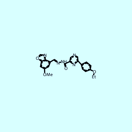 CCOc1ccc(-c2cncc(C(=O)NN=Cc3cc(OC)cc4ocnc34)n2)cc1